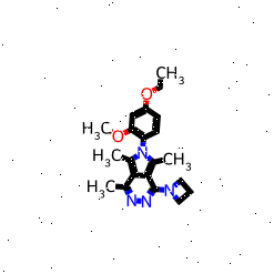 CCOc1ccc(-n2c(C)c3c(C)nnc(N4CCC4)c3c2C)c(OC)c1